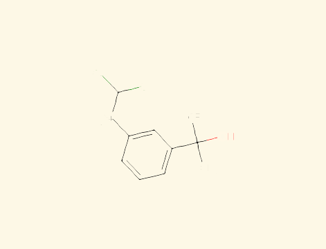 OC(c1cccc([SiH2]C(Cl)Cl)c1)(C(F)(F)F)C(F)(F)F